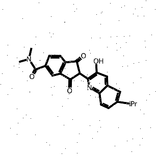 CC(C)c1ccc2nc(C3C(=O)c4ccc(C(=O)N(C)C)cc4C3=O)c(O)cc2c1